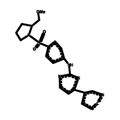 COCC1CCCN1S(=O)(=O)c1ccc(Nc2nccc(-c3cccnc3)n2)cc1